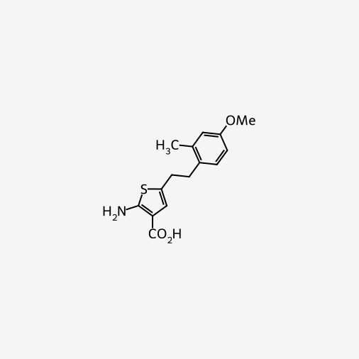 COc1ccc(CCc2cc(C(=O)O)c(N)s2)c(C)c1